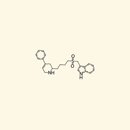 O=S(=O)(CCCCC1CC(c2ccccc2)=CCN1)Cc1c[nH]c2ccccc12